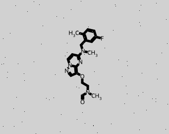 Cc1ccc(F)cc1CN(C)c1ccn2ncc(OCCN(C)C=O)c2n1